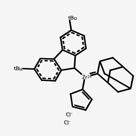 CC(C)(C)c1ccc2c(c1)-c1cc(C(C)(C)C)ccc1[CH]2[Zr+2]([C]1=CC=CC1)=[C]1C2CC3CC(C2)CC1C3.[Cl-].[Cl-]